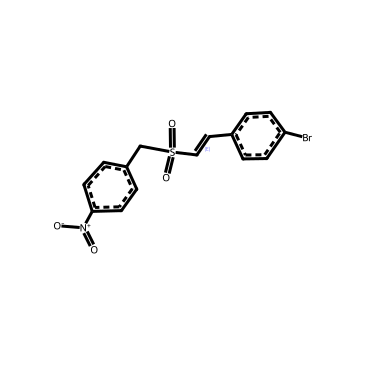 O=[N+]([O-])c1ccc(CS(=O)(=O)/C=C/c2ccc(Br)cc2)cc1